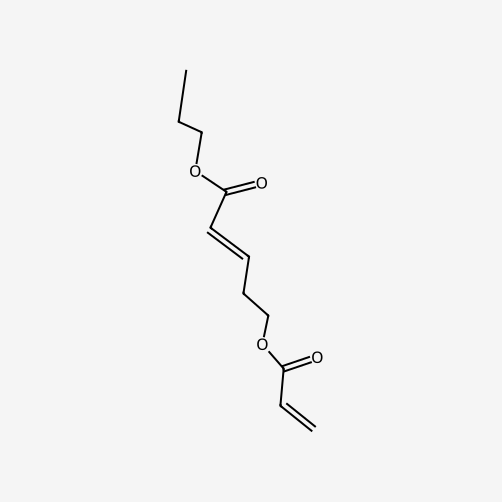 C=CC(=O)OCCC=CC(=O)OCCC